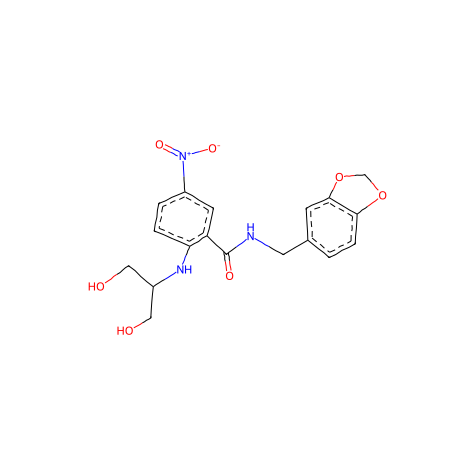 O=C(NCc1ccc2c(c1)OCO2)c1cc([N+](=O)[O-])ccc1NC(CO)CO